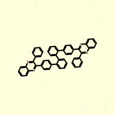 c1ccc(-c2nc3ccccc3nc2-c2ccc(-c3ccccc3-c3ccccc3-c3ccc(-c4nc5ccccc5nc4-c4ccccc4)cc3)cc2)cc1